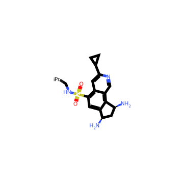 CC(C)CNS(=O)(=O)c1cc2c(c3cnc(C4CC4)cc13)[C@@H](N)C[C@H]2N